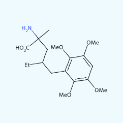 CCC(Cc1c(OC)c(OC)cc(OC)c1OC)CC(C)(N)C(=O)O